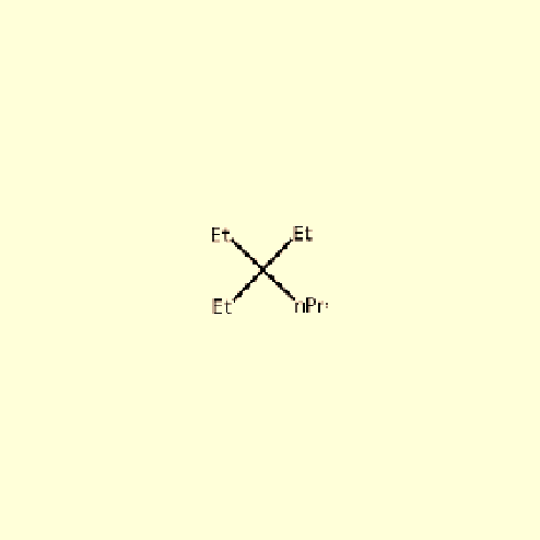 CC[C]C(CC)(CC)CC